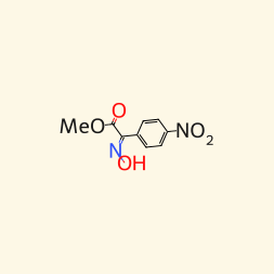 COC(=O)/C(=N/O)c1ccc([N+](=O)[O-])cc1